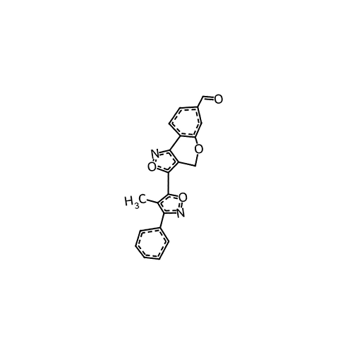 Cc1c(-c2ccccc2)noc1-c1onc2c1COc1cc(C=O)ccc1-2